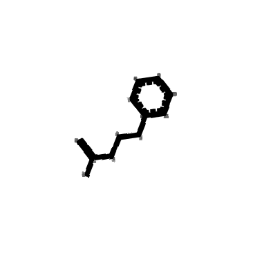 C=C(C)CCCc1ccccc1